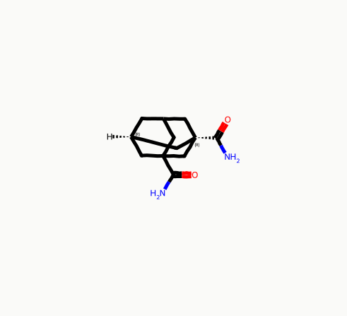 NC(=O)C12CC3C[C@@H]([CH][C@@](C(N)=O)(C3)C1)C2